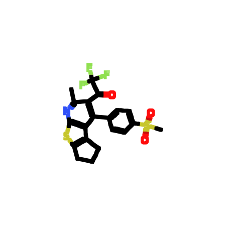 Cc1nc2sc3c(c2c(-c2ccc(S(C)(=O)=O)cc2)c1C(=O)C(F)(F)F)CCC3